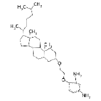 CC(C)CCCC(C)C1CCC2C3CCC4CC(OCCOc5ccc(N)cc5N)CCC4(C)C3CCC12C